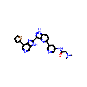 CN(C)CC(=O)Nc1cncc(-c2ccc3[nH]nc(-c4nc5c(-c6cccs6)cncc5[nH]4)c3n2)c1